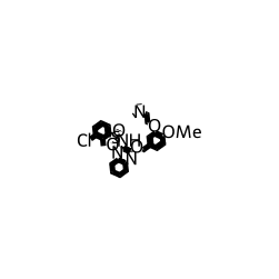 COc1ccc(COc2nc3c(nc2NS(=O)(=O)c2cccc(Cl)c2C)CCCC3)cc1OCCN(C)C